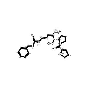 O=CN([C@@H]1CCCN1C(=O)[C@@H]1CCCN1)[C@@H](CCCNC(=O)OCc1ccccc1)C(=O)O